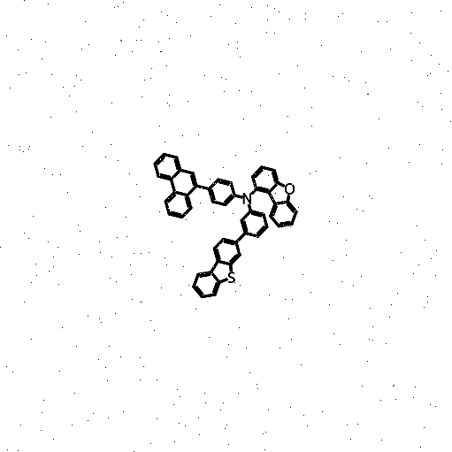 c1cc(-c2ccc3c(c2)sc2ccccc23)cc(N(c2ccc(-c3cc4ccccc4c4ccccc34)cc2)c2cccc3oc4ccccc4c23)c1